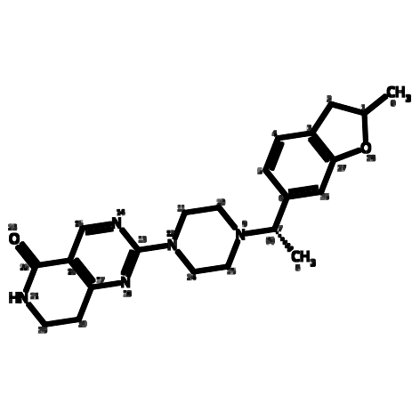 CC1Cc2ccc([C@H](C)N3CCN(c4ncc5c(n4)CCNC5=O)CC3)cc2O1